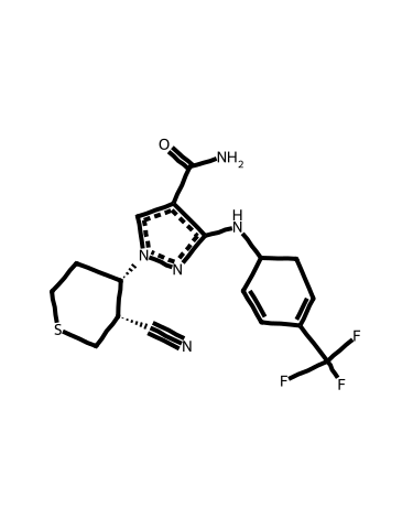 N#C[C@@H]1CSCC[C@@H]1n1cc(C(N)=O)c(NC2C=CC(C(F)(F)F)=CC2)n1